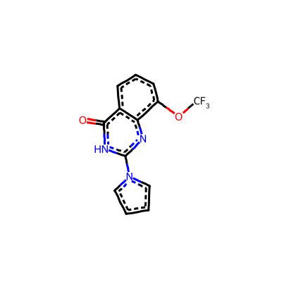 O=c1[nH]c(-n2cccc2)nc2c(OC(F)(F)F)cccc12